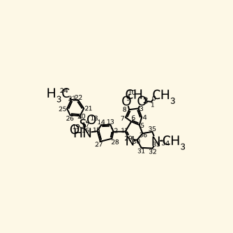 CCOc1cc2c(cc1OC)C(c1ccc(NS(=O)(=O)c3ccc(C)cc3)cc1)=NC1CCN(C)CC21